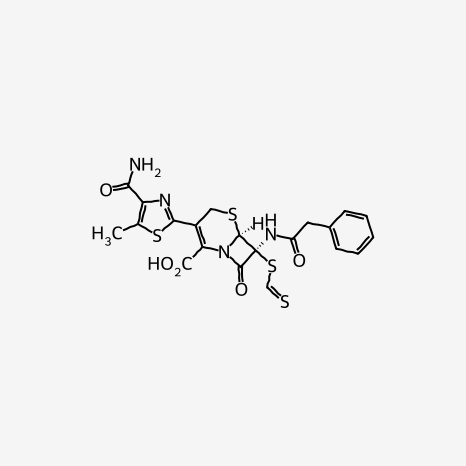 Cc1sc(C2=C(C(=O)O)N3C(=O)[C@](NC(=O)Cc4ccccc4)(SC=S)[C@@H]3SC2)nc1C(N)=O